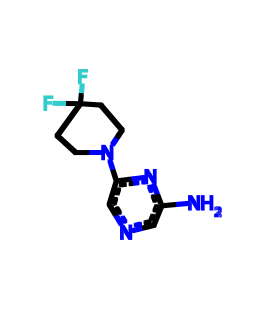 Nc1cncc(N2CCC(F)(F)CC2)n1